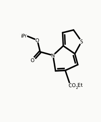 CCOC(=O)C1=CN(C(=O)OC(C)C)C2=CCSC2=C1